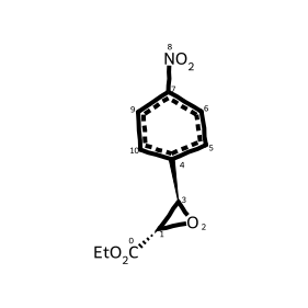 CCOC(=O)[C@H]1O[C@@H]1c1ccc([N+](=O)[O-])cc1